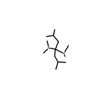 CC(C)CC(CC(C)C)(N(C)C)N(C)C